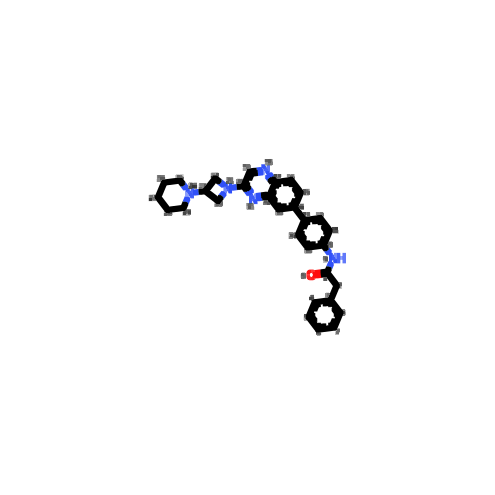 O=C(Cc1ccccc1)Nc1ccc(-c2ccc3ncc(N4CC(N5CCCCC5)C4)nc3c2)cc1